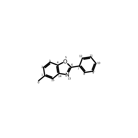 Cc1ccc2oc(-c3c[c]ccc3)nc2c1